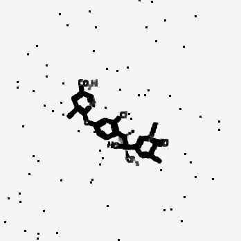 Cc1cc(C(=O)O)cnc1Oc1ccc([C@H](C)[C@](O)(c2cc(C)c(=O)n(C)c2)C(F)(F)F)c(Cl)c1